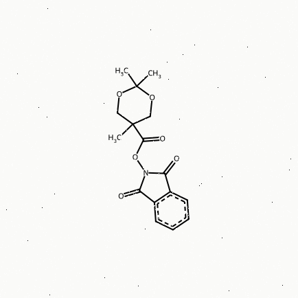 CC1(C)OCC(C)(C(=O)ON2C(=O)c3ccccc3C2=O)CO1